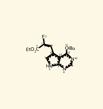 CCOC(=O)/C(F)=C\c1c[nH]c2ncnc(OCC(C)C)c12